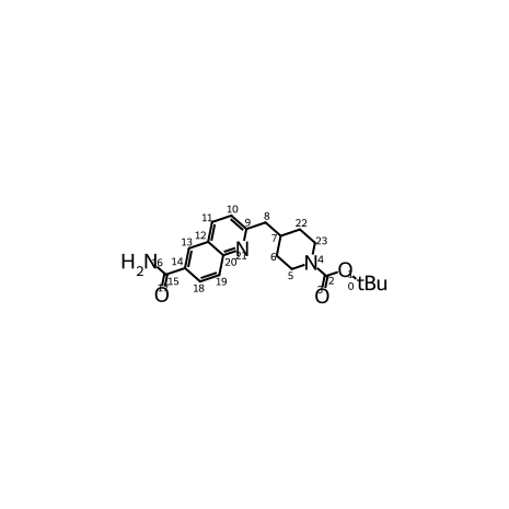 CC(C)(C)OC(=O)N1CCC(Cc2ccc3cc(C(N)=O)ccc3n2)CC1